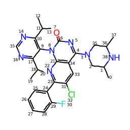 CC1CN(c2nc(=O)n(-c3c(C(C)C)ncnc3C(C)C)c3nc(-c4ccccc4F)c(Cl)cc23)CC(C)N1